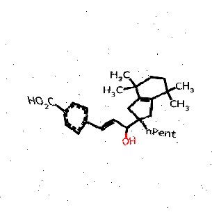 CCCCCC1(C(O)/C=C/c2ccc(C(=O)O)cc2)CC2=C(C1)C(C)(C)CCC2(C)C